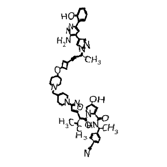 CC(C)[C@H](C(=O)N1C[C@H](O)C[C@H]1C(=O)N[C@@H](C)c1ccc(C#N)cc1)c1cc(N2CCC(CN3CCC(OC4CC(C#C[C@@H](C)n5cc(-c6cc(-c7ccccc7O)nnc6N)cn5)C4)CC3)CC2)no1